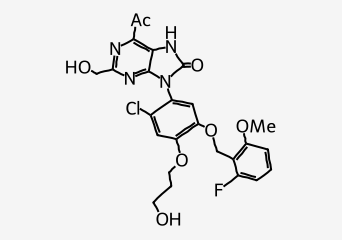 COc1cccc(F)c1COc1cc(-n2c(=O)[nH]c3c(C(C)=O)nc(CO)nc32)c(Cl)cc1OCCCO